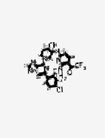 Cl.Nc1nc(NC2CCCN(c3nc(-c4ccc(Cl)cc4Cl)cn4ncnc34)C2)ccc1C(=O)C(F)(F)F